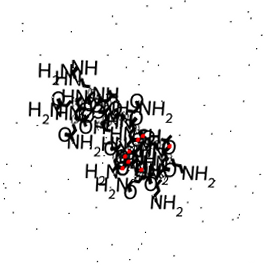 CC[C@H](C)[C@H](NC(=O)[C@H](CCC(N)=O)NC(=O)[C@H](CS)NC(=O)[C@H](CC(N)=O)NC(=O)[C@H](CC(N)=O)NC(=O)[C@H](CO)NC(=O)[C@H](CS)NC(=O)[C@H](CC(C)C)NC(=O)[C@H](CCCCN)NC(=O)[C@H](CCCCN)NC(=O)[C@@H](N)CCC(N)=O)C(=O)N[C@H](C(=O)N[C@@H](CCCNC(=N)N)C(=O)N[C@@H](CCC(N)=O)C(=O)N[C@@H](CCC(N)=O)C(=O)O)C(C)C